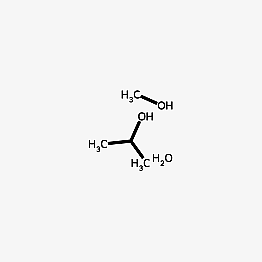 CC(C)O.CO.O